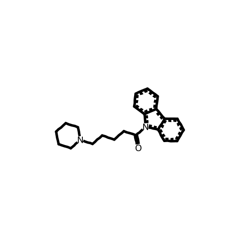 O=C(CCCCN1CCCCC1)n1c2ccccc2c2ccccc21